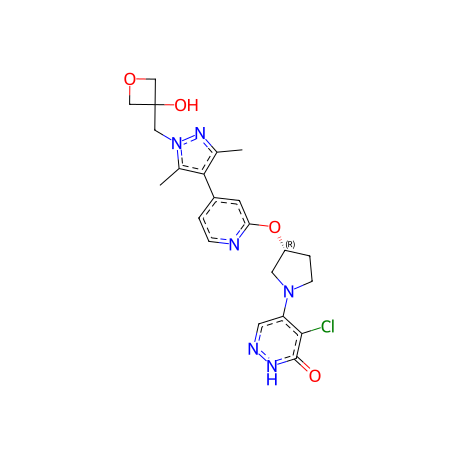 Cc1nn(CC2(O)COC2)c(C)c1-c1ccnc(O[C@@H]2CCN(c3cn[nH]c(=O)c3Cl)C2)c1